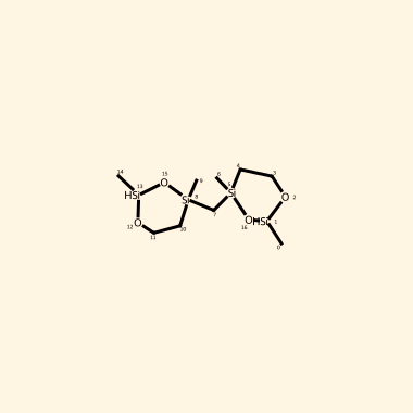 C[SiH]1OCC[Si](C)(C[Si]2(C)CCO[SiH](C)O2)O1